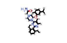 CCc1cccc(CC)c1-c1nc(C)c(COc2cc(C(C)C)ccc2C)c(N2CCN(CC(N)=O)CC2)n1